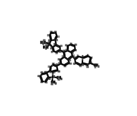 Cc1ccc2cc(-c3c4ccccc4c(-c4ccc5c(c4)-c4ccccc4C5(C)C)c4cc(-c5ccc6c(c5)C(C)(C)c5ccccc5-6)ccc34)ccc2n1